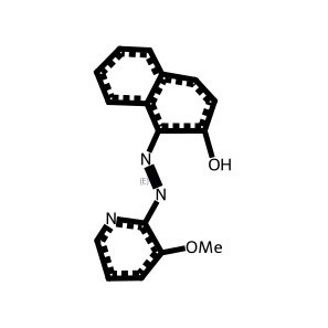 COc1cccnc1/N=N/c1c(O)ccc2ccccc12